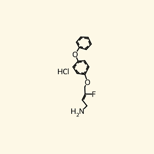 Cl.NCC=C(F)COc1ccc(Oc2ccccc2)cc1